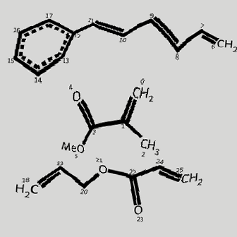 C=C(C)C(=O)OC.C=CC=CC=Cc1ccccc1.C=CCOC(=O)C=C